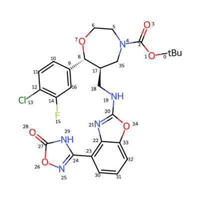 CC(C)(C)OC(=O)N1CCO[C@@H](c2ccc(Cl)c(F)c2)[C@H](CNc2nc3c(-c4noc(=O)[nH]4)cccc3o2)C1